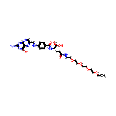 CCOCCOCCOCCOCCNC(=O)CC[C@H](NC(=O)c1ccc(NCc2cnc3nc(N)nc(O)c3n2)cc1)C(=O)O